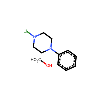 ClN1CCN(c2ccccc2)CC1.O=C(O)O